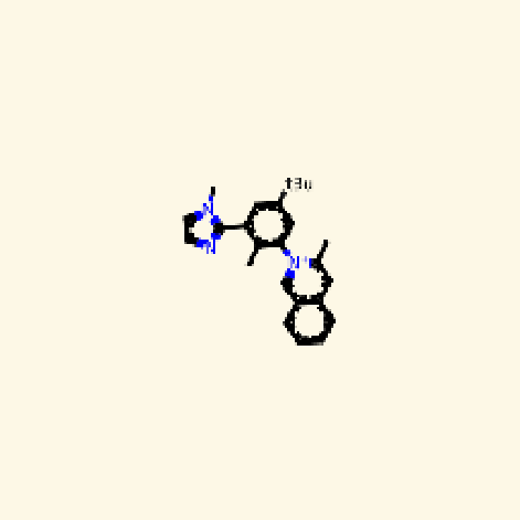 Cc1c(-c2nccn2C)cc(C(C)(C)C)cc1-[n+]1cc2ccccc2cc1C